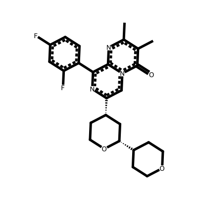 Cc1nc2c(-c3ccc(F)cc3F)nc([C@H]3CCO[C@@H](C4CCOCC4)C3)cn2c(=O)c1C